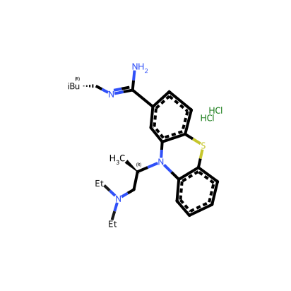 CC[C@@H](C)CN=C(N)c1ccc2c(c1)N([C@H](C)CN(CC)CC)c1ccccc1S2.Cl.Cl